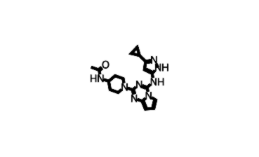 CC(=O)NC1CCN(c2nc(Nc3cc(C4CC4)n[nH]3)n3cccc3n2)CC1